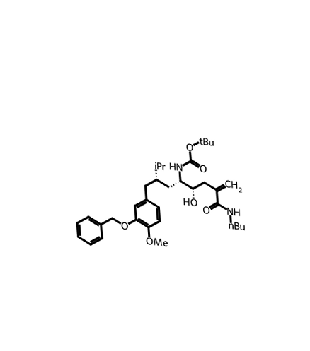 C=C(C[C@H](O)[C@H](C[C@H](Cc1ccc(OC)c(OCc2ccccc2)c1)C(C)C)NC(=O)OC(C)(C)C)C(=O)NCCCC